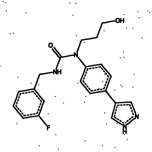 O=C(NCc1cccc(F)c1)N(CCCO)c1ccc(-c2cn[nH]c2)cc1